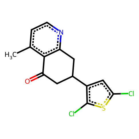 Cc1ccnc2c1C(=O)CC(c1cc(Cl)sc1Cl)C2